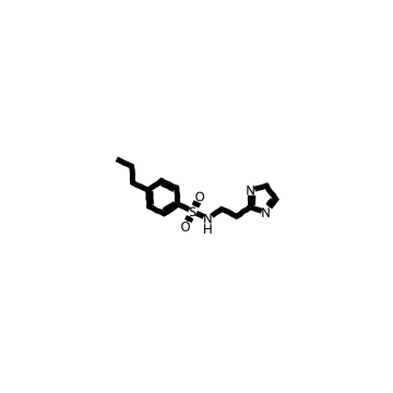 CCCc1ccc(S(=O)(=O)NCCC2=NCC=N2)cc1